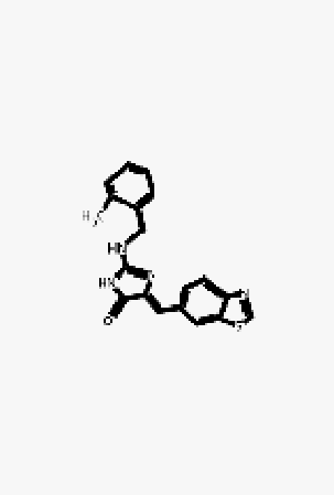 Cc1ccccc1CNC1=N/C(=C\c2ccc3ncsc3c2)C(=O)N1